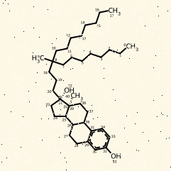 CCCCCCCCC(C)(CCCCCCCC)CCC[C@]1(O)CCC2C3CCc4cc(O)ccc4C3CC[C@@]21C